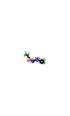 [O-][S+](CCC(F)=C(F)F)c1ncc(-c2noc(-c3ccc(F)c(F)c3)n2)s1